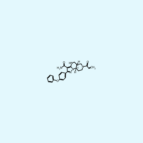 C=CC(=O)N1CC[C@H]2[C@H](CNc3c(C(N)=O)c(-c4ccc(Oc5ccccc5)cc4)nn32)C1